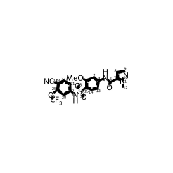 COc1cc(NC(=O)c2ccnn2C)ccc1S(=O)(=O)Nc1ccc(C#N)c(OC(F)(F)F)c1